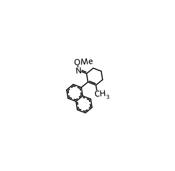 CON=C1CCCC(C)=C1c1cccc2ccccc12